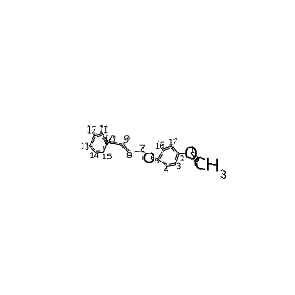 COc1ccc(OCC=Cc2ccccc2)cc1